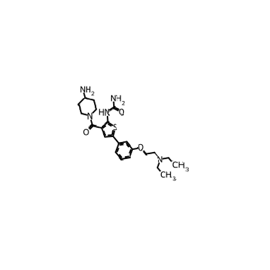 CCN(CC)CCOc1cccc(-c2cc(C(=O)N3CCC(N)CC3)c(NC(N)=O)s2)c1